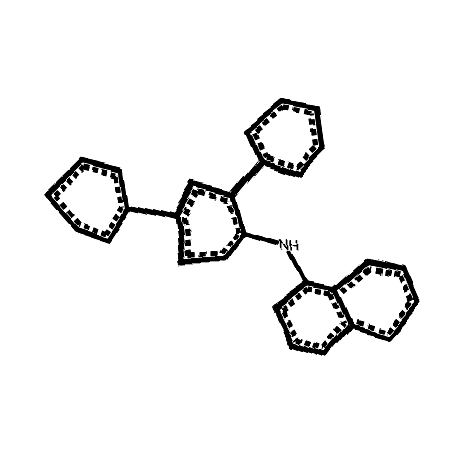 c1ccc(-c2ccc(Nc3cccc4ccccc34)c(-c3ccccc3)c2)cc1